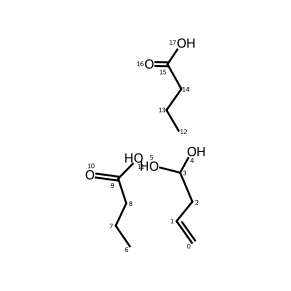 C=CCC(O)O.CCCC(=O)O.CCCC(=O)O